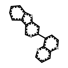 c1cnc2c(-c3cc4sc5ccccc5c4cn3)ccnc2c1